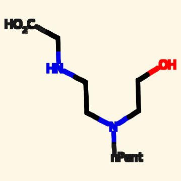 CCCCCN(CCO)CCNCC(=O)O